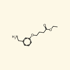 CCOC(=O)CCCOc1cccc(CN)c1